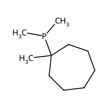 CP(C)C1(C)CCCCCC1